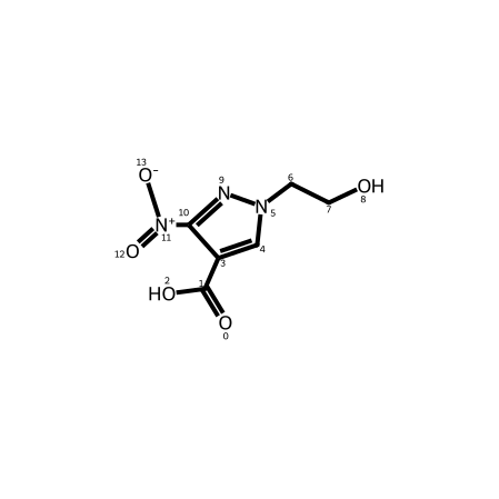 O=C(O)c1cn(CCO)nc1[N+](=O)[O-]